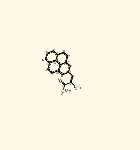 COC(=O)C(C)=Cc1cc2ccc3cccc4ccc(c1)c2c34